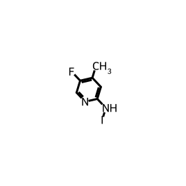 Cc1cc(NI)ncc1F